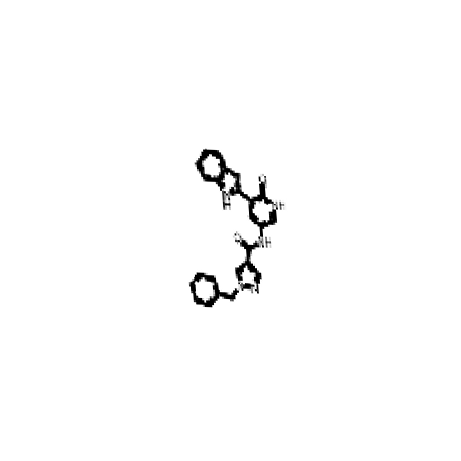 O=C(Nc1c[nH]c(=O)c(-c2cc3ccccc3[nH]2)c1)c1cnn(Cc2ccccc2)c1